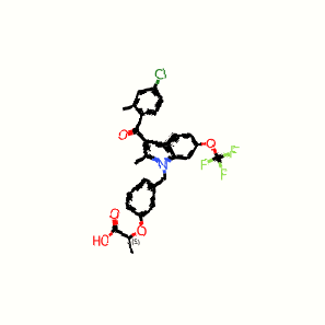 Cc1cc(Cl)ccc1C(=O)c1c(C)n(Cc2cccc(O[C@@H](C)C(=O)O)c2)c2cc(OC(F)(F)F)ccc12